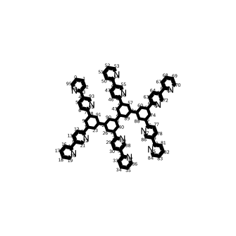 c1ccc(-c2ccc(C3CC(c4ccc(-c5ccccn5)cn4)CC(C4CC(c5ccc(-c6ccccn6)cn5)CC(C5CC(c6ccc(-c7ccccn7)cn6)CC(C6CC(c7ccc(-c8ccccn8)cn7)CC(c7ccc(-c8ccccn8)cn7)C6)C5)C4)C3)nc2)nc1